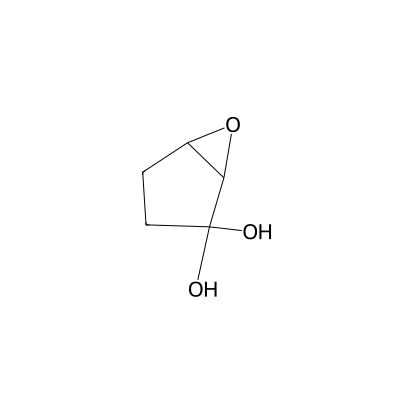 OC1(O)CCC2OC21